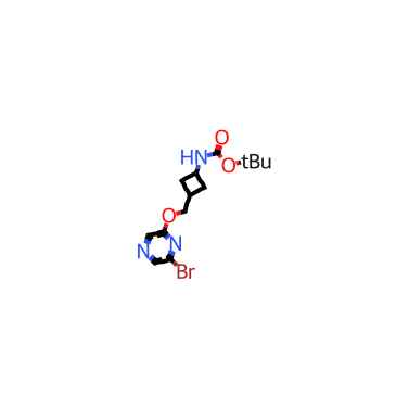 CC(C)(C)OC(=O)NC1CC(COc2cncc(Br)n2)C1